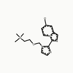 C[Si](C)(C)CCOCn1ccnc1-c1ncc2cc(Cl)ccn12